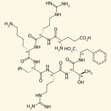 CC(C)C[C@H](NC(=O)[C@H](CCCCN)NC(=O)[C@H](CCCNC(=N)N)NC(=O)[C@@H](N)CCC(=O)O)C(=O)N[C@@H](CCCNC(=N)N)C(=O)N[C@H](C(=O)N[C@@H](Cc1ccccc1)C(=O)O)[C@@H](C)O